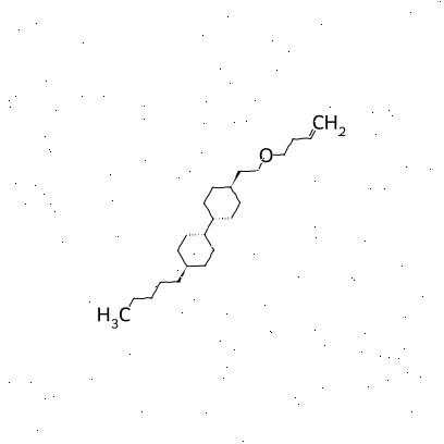 C=CCCOCC[C@H]1CC[C@H]([C@H]2CC[C@H](CCCCC)CC2)CC1